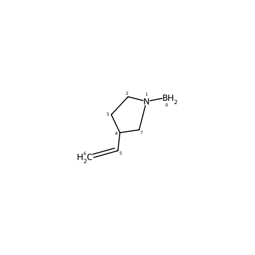 BN1CCC(C=C)C1